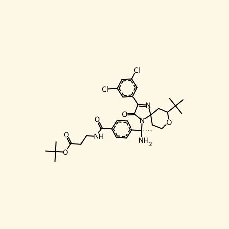 CC(C)(C)OC(=O)CCNC(=O)c1ccc([C@](C)(N)N2C(=O)C(c3cc(Cl)cc(Cl)c3)=NC23CCOC(C(C)(C)C)C3)cc1